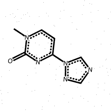 Cn1ccc(-n2cncn2)nc1=O